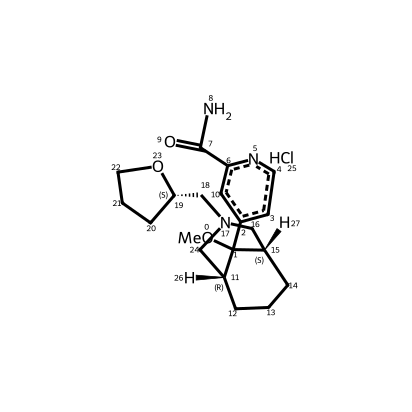 COC1(c2ccnc(C(N)=O)c2)[C@@H]2CCC[C@H]1CN(C[C@@H]1CCCO1)C2.Cl